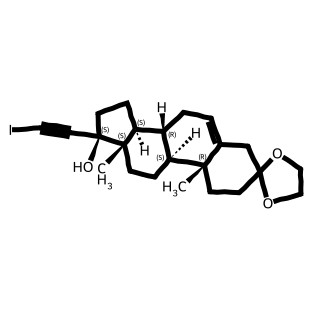 C[C@]12CCC3(CC1=CC[C@@H]1[C@@H]2CC[C@@]2(C)[C@H]1CC[C@@]2(O)C#CI)OCCO3